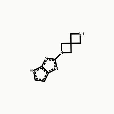 c1cc2nc(N3CC4(CNC4)C3)sc2[nH]1